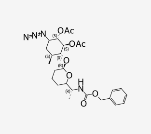 CC(=O)O[C@H]1[C@H](O[C@@H]2CCCC([C@@H](C)NC(=O)OCc3ccccc3)O2)[C@@H](C)CC(N=[N+]=[N-])[C@@H]1OC(C)=O